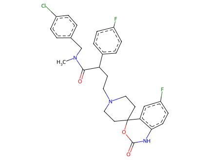 CN(Cc1ccc(Cl)cc1)C(=O)C(CCN1CCC2(CC1)OC(=O)Nc1ccc(F)cc12)c1ccc(F)cc1